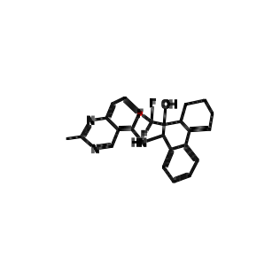 Cc1ncc2c(NC3c4ccccc4C4=CCCCC4C3(O)C(F)(F)F)cccc2n1